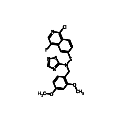 COc1ccc(CN(Sc2ccc3c(Cl)ncc(F)c3c2)c2ncns2)c(OC)c1